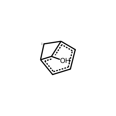 Oc1c2cccc1[C]2